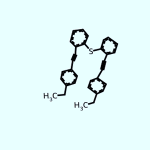 CCc1ccc(C#Cc2ccccc2Sc2ccccc2C#Cc2ccc(CC)cc2)cc1